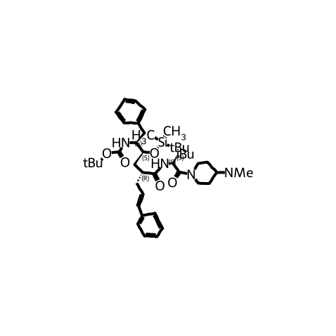 CC[C@H](C)[C@H](NC(=O)[C@H](CC=Cc1ccccc1)C[C@H](O[Si](C)(C)C(C)(C)C)[C@H](Cc1ccccc1)NC(=O)OC(C)(C)C)C(=O)N1CCC(NC)CC1